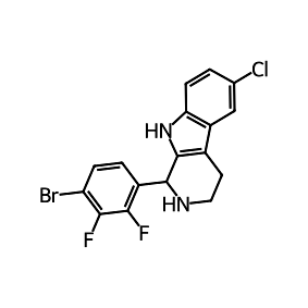 Fc1c(Br)ccc(C2NCCc3c2[nH]c2ccc(Cl)cc32)c1F